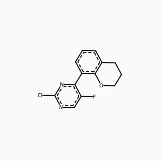 Fc1cnc(Cl)nc1-c1cccc2c1OCCC2